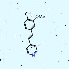 COc1cc(/C=C/c2ccncc2)ccc1C